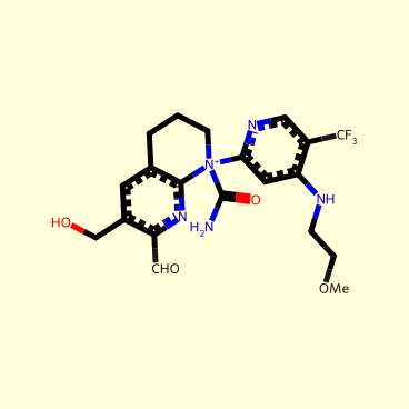 COCCNc1cc([N+]2(C(N)=O)CCCc3cc(CO)c(C=O)nc32)ncc1C(F)(F)F